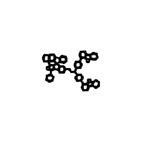 c1ccc(-c2oc(-c3ccccc3)c3c2-c2ccc(CCC(c4ccc(-c5cccc6c5oc5ccccc56)cc4)c4ccc(-c5cccc6c5oc5ccccc56)cc4)cc2C32c3ccccc3-c3ccccc32)cc1